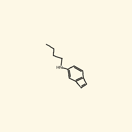 CCCCNc1ccc2c(c1)C=C2